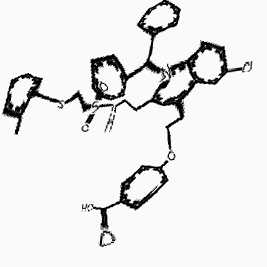 Cc1ccccc1SCS(=O)(=O)NCCc1c(CCOc2ccc(C(=O)O)cc2)c2cc(Cl)ccc2n1C(c1ccccc1)c1ccccc1